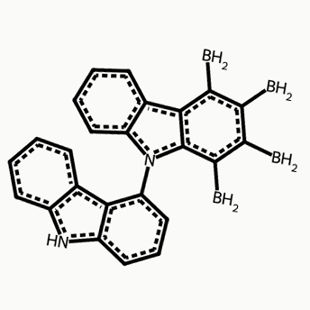 Bc1c(B)c(B)c2c(c1B)c1ccccc1n2-c1cccc2[nH]c3ccccc3c12